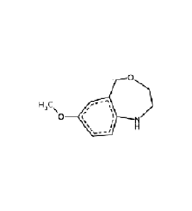 COc1ccc2c(c1)[CH]OCCN2